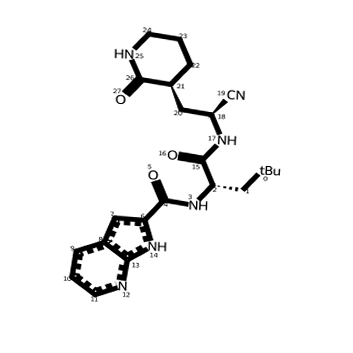 CC(C)(C)C[C@H](NC(=O)c1cc2cccnc2[nH]1)C(=O)N[C@H](C#N)C[C@@H]1CCCNC1=O